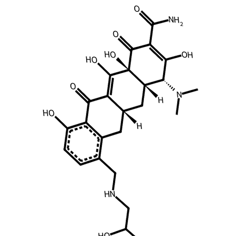 CC(O)CNCc1ccc(O)c2c1C[C@H]1C[C@H]3[C@@H](N(C)C)C(O)=C(C(N)=O)C(=O)[C@@]3(O)C(O)=C1C2=O